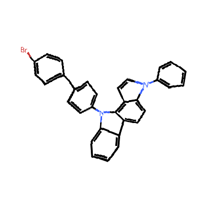 Brc1ccc(-c2ccc(-n3c4ccccc4c4ccc5c(ccn5-c5ccccc5)c43)cc2)cc1